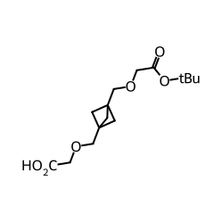 CC(C)(C)OC(=O)COCC12CC(COCC(=O)O)(C1)C2